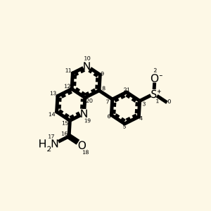 C[S+]([O-])c1cccc(-c2cncc3ccc(C(N)=O)nc23)c1